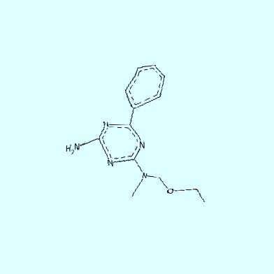 CCOCN(C)c1nc(N)nc(-c2ccccc2)n1